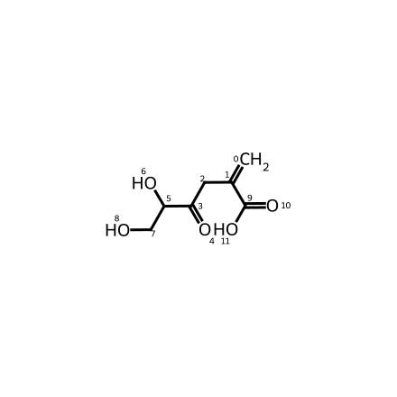 C=C(CC(=O)C(O)CO)C(=O)O